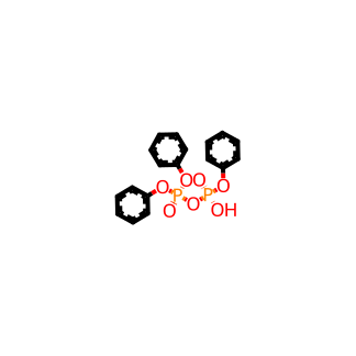 O=P(O)(Oc1ccccc1)OP(=O)(Oc1ccccc1)Oc1ccccc1